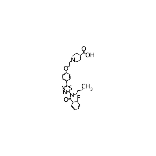 CCCCN(C(=O)C1C=CC=CC1F)c1nnc(-c2ccc(OCCN3CCC(C(=O)O)CC3)cc2)s1